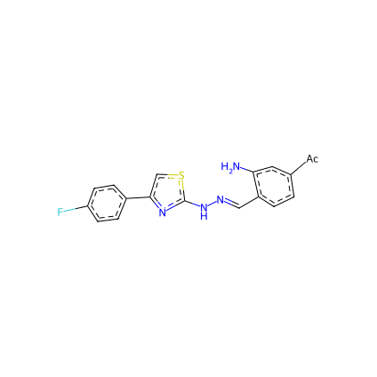 CC(=O)c1ccc(/C=N/Nc2nc(-c3ccc(F)cc3)cs2)c(N)c1